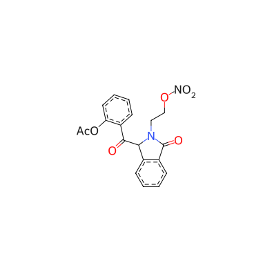 CC(=O)Oc1ccccc1C(=O)C1c2ccccc2C(=O)N1CCO[N+](=O)[O-]